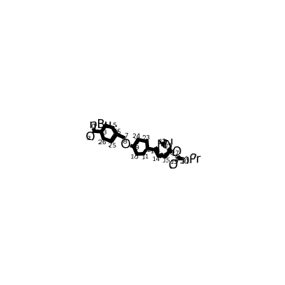 CCCCC(=O)C1CCC(COC2CCC(c3ccc(OC(=O)CCC)nn3)CC2)CC1